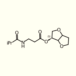 CC(C)C(=O)NCCC(=O)O[C@H]1COC2CCOC21